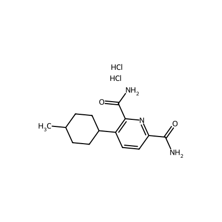 CC1CCC(c2ccc(C(N)=O)nc2C(N)=O)CC1.Cl.Cl